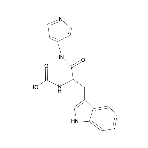 O=C(O)NC(Cc1c[nH]c2ccccc12)C(=O)Nc1ccncc1